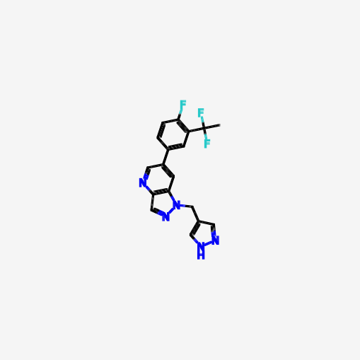 CC(F)(F)c1cc(-c2cnc3cnn(Cc4cn[nH]c4)c3c2)ccc1F